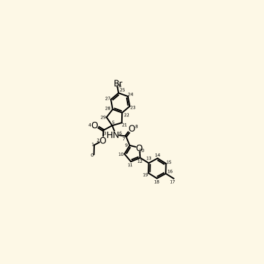 CCOC(=O)C1(NC(=O)c2ccc(-c3ccc(C)cc3)o2)Cc2ccc(Br)cc2C1